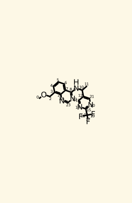 COCc1cccc2c(NC(C)c3cnc(C(F)(F)F)nc3)ncnc12